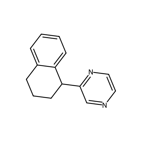 c1ccc2c(c1)CCCC2c1cnccn1